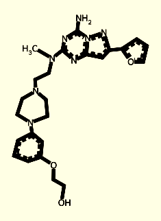 CN(CCN1CCN(c2cccc(OCCO)c2)CC1)c1nc(N)n2nc(-c3ccco3)cc2n1